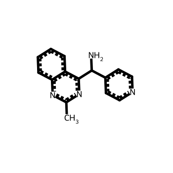 Cc1nc(C(N)c2ccncc2)c2ccccc2n1